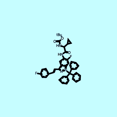 CC(C)(C)OC(=O)NC(C(=O)Nc1cc2c(C=Cc3ccc(F)cc3)nn(C(c3ccccc3)(c3ccccc3)c3ccccc3)c2cc1F)C1CC1